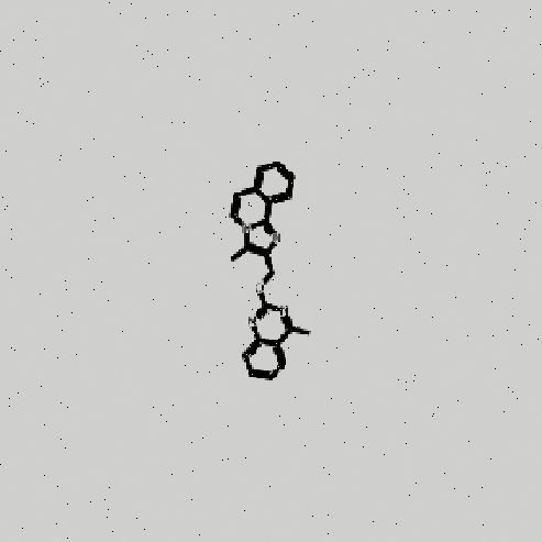 Cc1nc(OCc2nc3c4ccccc4ccn3c2C)nc2ccccc12